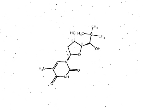 Cc1cn([C@H]2C[C@H](O)[C@@H](C(O)[Si](C)(C)C)O2)c(=O)[nH]c1=O